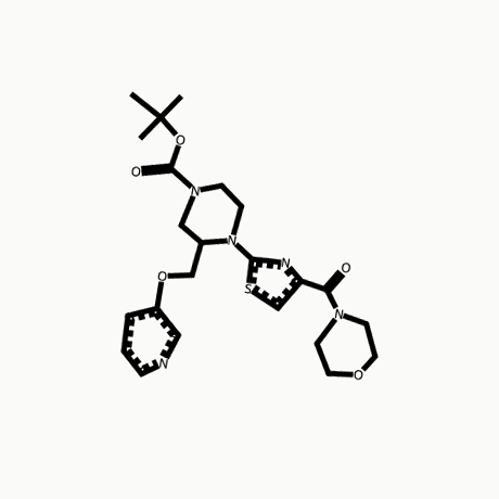 CC(C)(C)OC(=O)N1CCN(c2nc(C(=O)N3CCOCC3)cs2)C(COc2cccnc2)C1